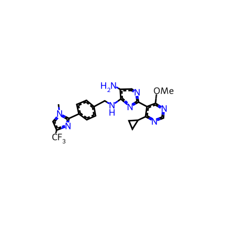 COc1ncnc(C2CC2)c1-c1ncc(N)c(NCc2ccc(-c3nc(C(F)(F)F)cn3C)cc2)n1